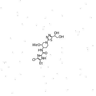 CCc1[nH]c(C(=O)N[C@@H]2CCN(c3nnc(C(O)CO)s3)C[C@@H]2OC)nc1Cl